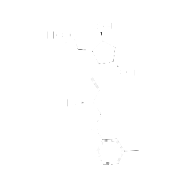 Cc1cccc(OC[C@H](O)/C=C/[C@@H]2[C@@H](CC(=O)O)[C@@H](O)C[C@H]2O)c1